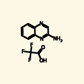 Nc1cnc2ccccc2n1.O=C(O)C(F)(F)F